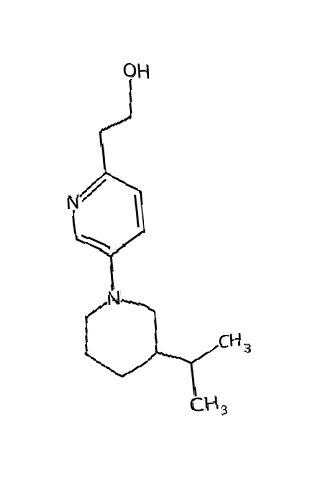 CC(C)C1CCCN(c2ccc(CCO)nc2)C1